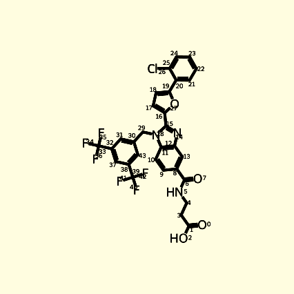 O=C(O)CCNC(=O)c1ccc2c(c1)nc(-c1ccc(-c3ccccc3Cl)o1)n2Cc1cc(C(F)(F)F)cc(C(F)(F)F)c1